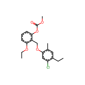 CCOc1cccc(OC(=O)OC)c1COc1cc(Cl)c(CC)cc1C